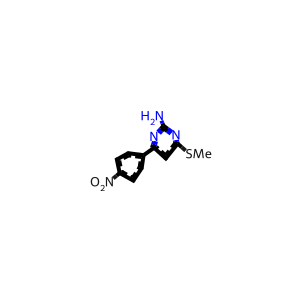 CSc1cc(-c2ccc([N+](=O)[O-])cc2)nc(N)n1